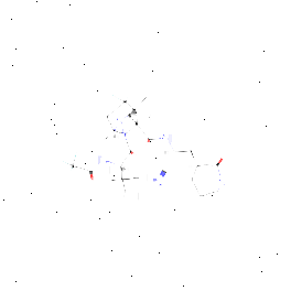 CC(C)(C)[C@@H](NC(=O)C(F)(F)F)C(=O)N1[C@@H]2CC[C@H]([C@H]1C(=O)N[C@@H](C#N)C[C@@H]1CCCNC1=O)C(F)(F)C2